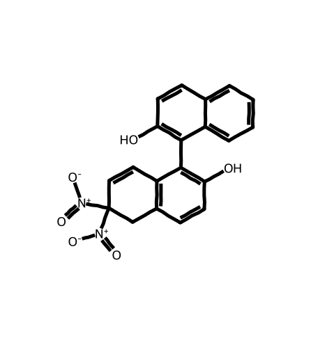 O=[N+]([O-])C1([N+](=O)[O-])C=Cc2c(ccc(O)c2-c2c(O)ccc3ccccc23)C1